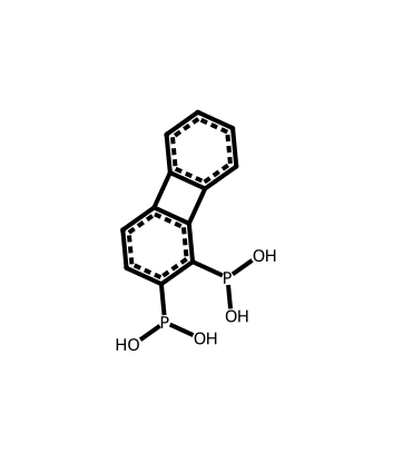 OP(O)c1ccc2c(c1P(O)O)-c1ccccc1-2